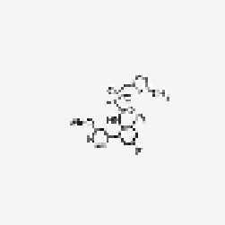 COc1cc(-c2cc(F)cc(C(C)C)c2NC(=O)NS(=O)(=O)CC2CCN(C)C2)ccn1